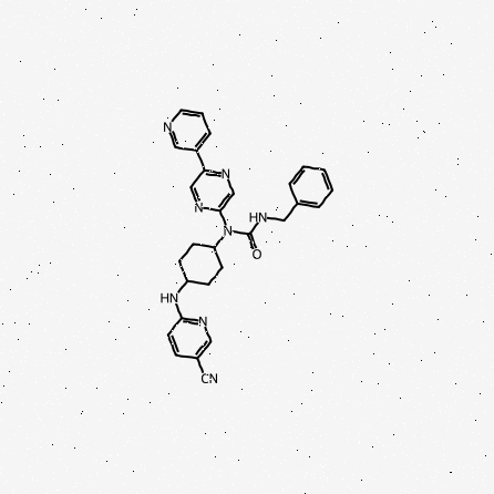 N#Cc1ccc(NC2CCC(N(C(=O)NCc3ccccc3)c3cnc(-c4cccnc4)cn3)CC2)nc1